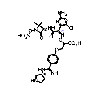 CC1(C)[C@H](NC(=O)/C(=N\OC(COc2ccc(C(=N)N[C@H]3CCNC3)cc2)C(=O)O)c2nc(N)sc2Cl)C(=O)N1OS(=O)(=O)O